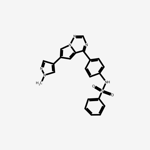 Cn1cc(-c2cc3c(-c4ccc(NS(=O)(=O)c5ccccc5)cc4)ncnn3c2)cn1